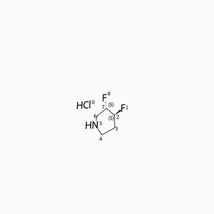 Cl.F[C@H]1CCNC[C@@H]1F